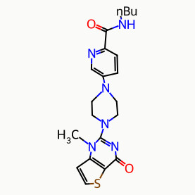 CCCCNC(=O)c1ccc(N2CCN(c3nc(=O)c4sccc4n3C)CC2)cn1